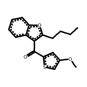 CCCCc1oc2ccccc2c1C(=O)c1cc(OC)cs1